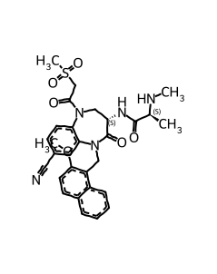 CN[C@@H](C)C(=O)N[C@H]1CN(C(=O)CS(C)(=O)=O)c2ccc(C#N)cc2N(Cc2c(OC)ccc3ccccc23)C1=O